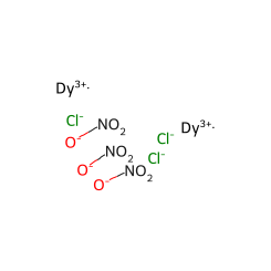 O=[N+]([O-])[O-].O=[N+]([O-])[O-].O=[N+]([O-])[O-].[Cl-].[Cl-].[Cl-].[Dy+3].[Dy+3]